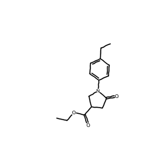 CCOC(=O)C1CC(=O)N(c2ccc(CC)cc2)C1